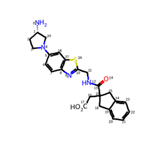 N[C@H]1CCN(c2ccc3nc(CNC(=O)C4(CC(=O)O)Cc5ccccc5C4)sc3c2)C1